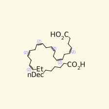 CC/C=C\C/C=C\C/C=C\C/C=C\C/C=C\C/C=C\CCC(=O)O.CCCCCCCCCCCCCCCC(=O)O